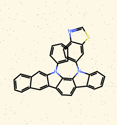 c1ccc(-n2c3cc4ccccc4cc3c3ccc4c5ccccc5n(-c5ccc6ncsc6c5)c4c32)cc1